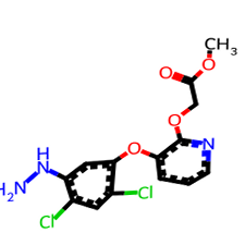 COC(=O)COc1ncccc1Oc1cc(NN)c(Cl)cc1Cl